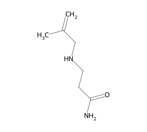 C=C(C)CNCCC(N)=O